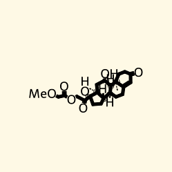 COCC(=O)OCC(=O)[C@@]1(O)CC[C@H]2[C@@H]3CCC4=CC(=O)CC[C@]4(C)[C@H]3[C@@H](O)C[C@@]21C